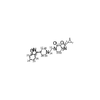 O=C1c2oc(C3CC3)nc2CCN1CCN1CCC(c2noc3ccccc23)CC1